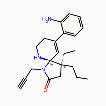 C#CCN1C(=O)C[C@](CC)(CCC)[C@@]12C=C(c1ccccc1N)CCN2